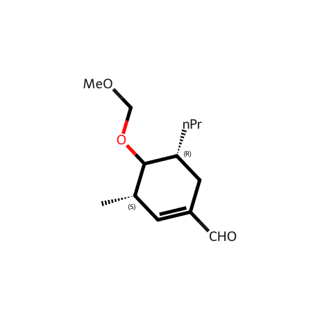 CCC[C@@H]1CC(C=O)=C[C@H](C)C1OCOC